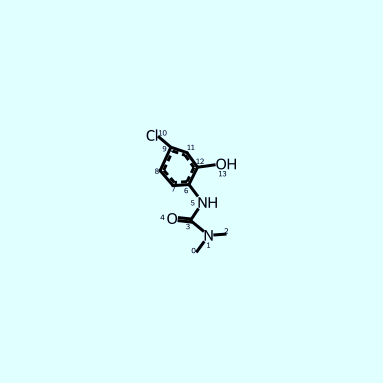 CN(C)C(=O)Nc1ccc(Cl)cc1O